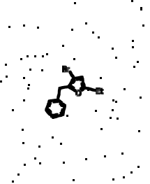 CCc1cc(Br)c(Cc2ccccc2)o1